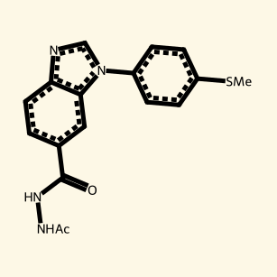 CSc1ccc(-n2cnc3ccc(C(=O)NNC(C)=O)cc32)cc1